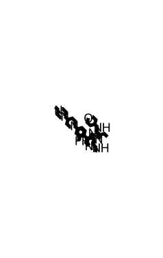 CCc1nc2c(NC)ncc(-c3ccc(N4CCC(N5CCN(C)CC5)CC4)cc3P)c2nc1NC1CCOCC1